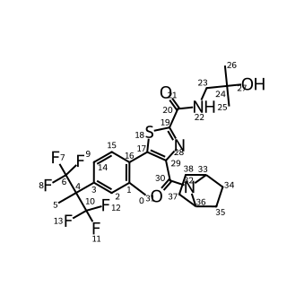 Cc1cc(C(C)(C(F)(F)F)C(F)(F)F)ccc1-c1sc(C(=O)NCC(C)(C)O)nc1C(=O)N1C2CCC1CC2